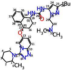 CC1CCCCN1c1nnc2ccc(O[C@@H]3CC[C@H](NC(=O)Nc4cc(C(C)(C)C)nn4CCN(C)C)c4ccccc43)cn12